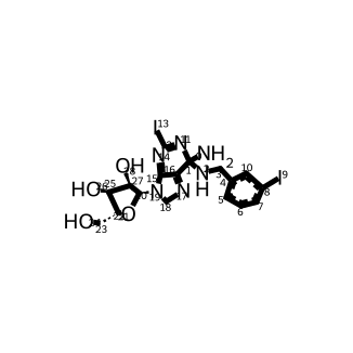 NC1(NCc2cccc(I)c2)N=C(I)N=C2C1=NCN2[C@@H]1O[C@H](CO)[C@@H](O)[C@H]1O